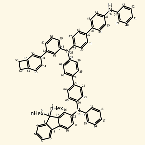 CCCCCCC1(CCCCCC)c2ccccc2-c2ccc(N(c3ccccc3)c3ccc(-c4ccc(N(c5ccc(-c6ccc(Nc7ccccc7)cc6)cc5)c5cccc(-c6ccc7c(c6)CC7)c5)cc4)cc3)cc21